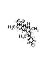 Cc1nc([C@H](C)Nc2nccc(N3C(=O)OCC3[C@@H](C)F)n2)cn1-c1ccc(Cl)cc1